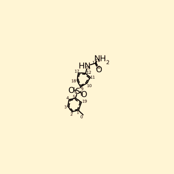 Cc1cccc(S(=O)(=O)c2ccc(NC(N)=O)cc2)c1